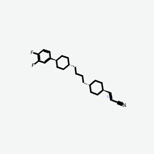 N#C/C=C/[C@H]1CC[C@H](CCCC[C@H]2CC[C@H](c3ccc(F)c(F)c3)CC2)CC1